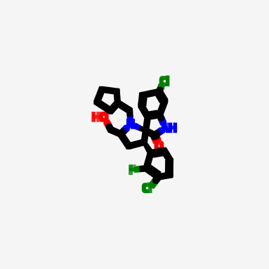 O=C1Nc2cc(Cl)ccc2[C@@]12[C@@H](c1cccc(Cl)c1F)CC(CO)N2CC1CCCC1